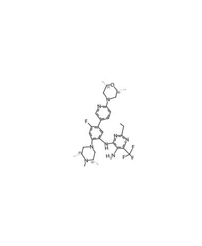 CCc1nc(Nc2cc(-c3ccc(N4C[C@@H](C)O[C@@H](C)C4)nc3)c(F)cc2N2C[C@@H](C)N(C)[C@@H](C)C2)c(N)c(C(F)(F)F)n1